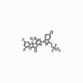 CC1(c2cc(F)cc(F)c2)C(=O)Nc2nc(-n3nc(CCC(F)(F)C(F)(F)F)c4cc(Cl)ccc43)nc(N)c21